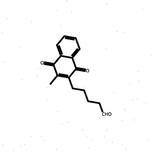 CC1=C(CCCCC=O)C(=O)c2ccccc2C1=O